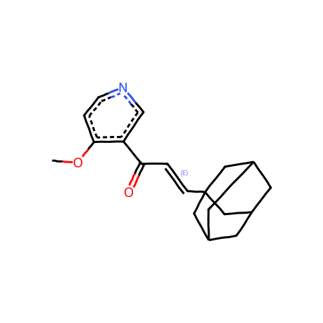 COc1ccncc1C(=O)/C=C/C12CC3CC(CC(C3)C1)C2